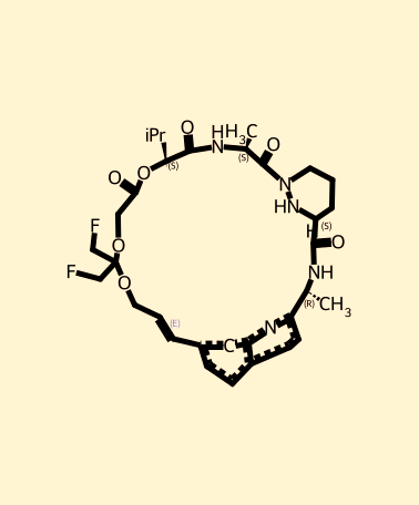 CC(C)[C@@H]1OC(=O)COC(CF)(CF)OC/C=C/c2ccc3ccc(nc3c2)[C@@H](C)NC(=O)[C@@H]2CCCN(N2)C(=O)[C@H](C)NC1=O